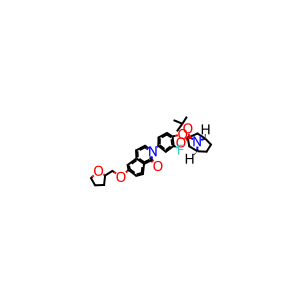 CC(C)(C)OC(=O)N1[C@@H]2CC[C@H]1CC(Oc1ccc(-n3ccc4cc(OCC5CCCO5)ccc4c3=O)cc1F)C2